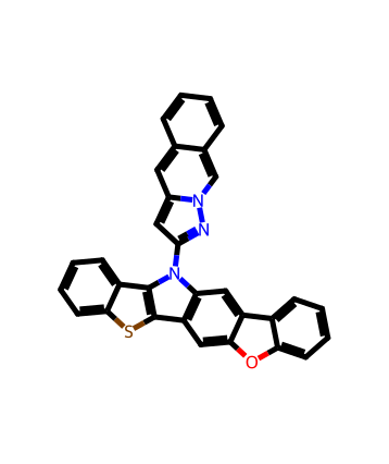 c1ccc2cn3nc(-n4c5cc6c(cc5c5sc7ccccc7c54)oc4ccccc46)cc3cc2c1